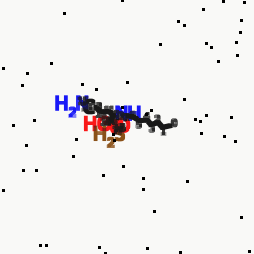 CCCCCCCC(=O)NC(CCCCN)C(=O)O.S